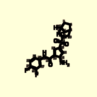 C[C@@]1(O)C2CC[C@H]1C[C@H](S(=O)(=O)C1=CC(N)C(C(=O)Nc3ccc(F)c(F)c3)=C1)C2